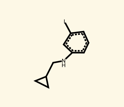 Ic1cccc(NCC2CC2)c1